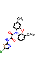 COc1ccccc1Oc1cc(C)ccc1NC(=O)C(=O)Nc1ncc(Br)s1